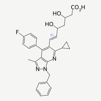 Cc1nn(Cc2ccccc2)c2nc(C3CC3)c(/C=C/C(O)CC(O)CC(=O)O)c(-c3ccc(F)cc3)c12